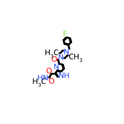 CNC(=O)C(=O)c1c[nH]c2ccc(C(=O)N3C[C@H](C)N(Cc4ccc(F)cc4)C[C@H]3C)nc12